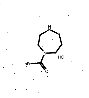 CCCC(=O)N1CCCNCC1.Cl